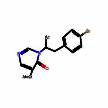 COc1cncn(C(Cc2ccc(Br)cc2)C(C)=O)c1=O